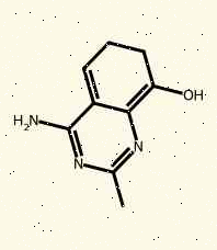 Cc1nc(N)c2c(n1)=C(O)CCC=2